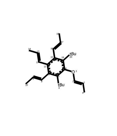 CC=COc1c(C(C)(C)C)c(C=CC)c(C=CC)c(C=CC)c1C(C)(C)C